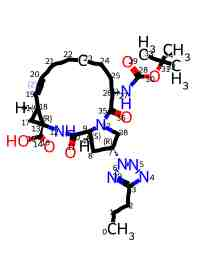 CCCc1nnn([C@@H]2C[C@H]3C(=O)N[C@]4(C(=O)O)C[C@H]4/C=C\CCCCC[C@H](NC(=O)OC(C)(C)C)C(=O)N3C2)n1